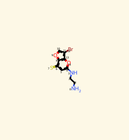 NCCNc1cc(=S)c2occ(Br)c2o1